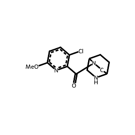 COc1ccc(Cl)c(C(=O)N2CC3CCC2CN3)n1